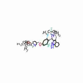 C[C@@H]1Cc2c([nH]c3ccccc23)[C@@H](c2c(F)cc(OCc3ccc(CO[Si](C)(C)C(C)(C)C)nc3)cc2F)N1CC(C)(C)F